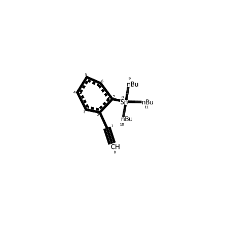 C#Cc1cccc[c]1[Sn]([CH2]CCC)([CH2]CCC)[CH2]CCC